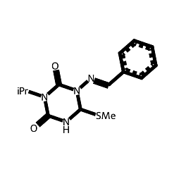 CSC1NC(=O)N(C(C)C)C(=O)N1N=Cc1ccccc1